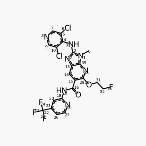 Cn1c(Nc2c(Cl)cncc2Cl)nc2cc(C(=O)Nc3cc(C(F)(F)F)ccn3)c(OCCF)nc21